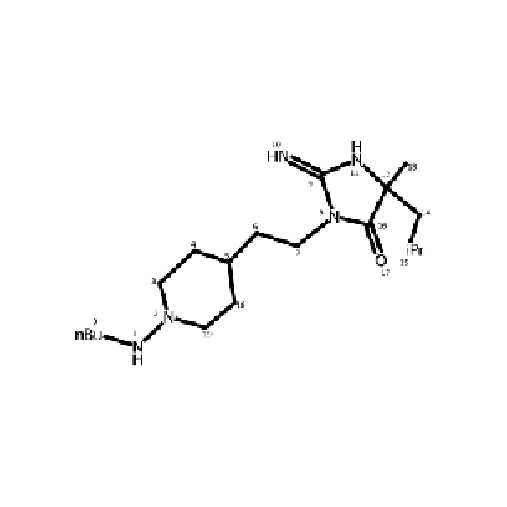 CCCCNN1CCC(CCN2C(=N)NC(C)(CC(C)C)C2=O)CC1